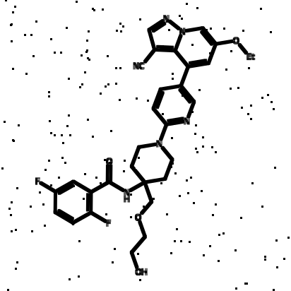 CCOc1cc(-c2ccc(N3CCC(COCCO)(NC(=O)c4cc(F)ccc4F)CC3)nc2)c2c(C#N)cnn2c1